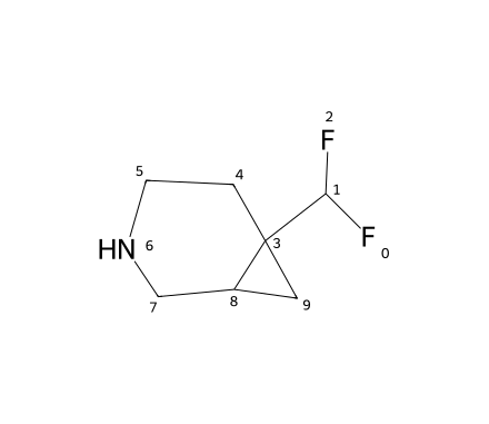 FC(F)C12CCNCC1C2